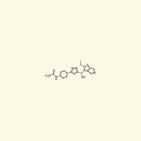 CCc1sc2cncn2c1C(O)c1cn(-c2ccc(NC(N)=O)cc2)nn1